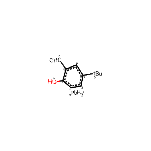 CC(C)(C)c1ccc(O)c(C=O)c1.[PbH2]